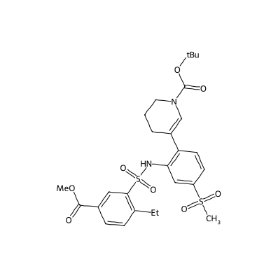 CCc1ccc(C(=O)OC)cc1S(=O)(=O)Nc1cc(S(C)(=O)=O)ccc1C1=CN(C(=O)OC(C)(C)C)CCC1